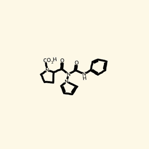 O=C(O)N1CCCC1C(=O)N(C(=O)Nc1ccccc1)n1cccc1